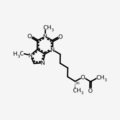 CC(=O)O[C@H](C)CCCCn1c(=O)n(C)c(=O)c2c1ncn2C